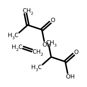 C=C.C=C(C)C(=O)O.CC(C)C(=O)O